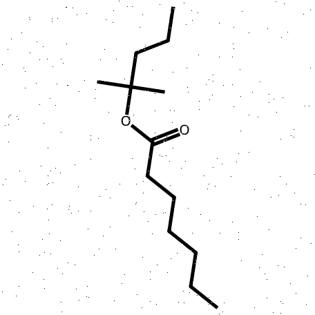 CCCCCCC(=O)OC(C)(C)CCC